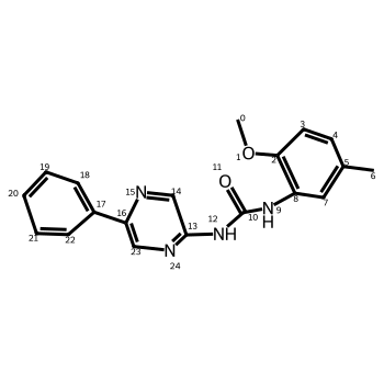 COc1ccc(C)cc1NC(=O)Nc1cnc(-c2ccccc2)cn1